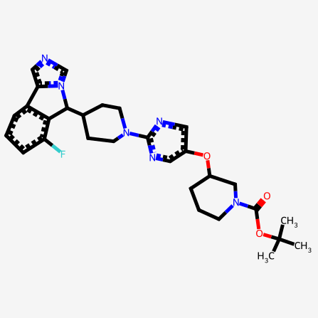 CC(C)(C)OC(=O)N1CCCC(Oc2cnc(N3CCC(C4c5c(F)cccc5-c5cncn54)CC3)nc2)C1